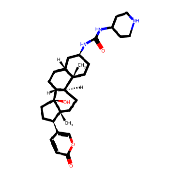 C[C@]12CC[C@H](NC(=O)NC3CCNCC3)C[C@H]1CC[C@@H]1[C@@H]2CC[C@]2(C)[C@@H](c3ccc(=O)oc3)CC[C@]12O